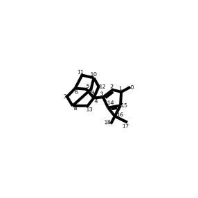 CC1[C]=C(C23CC4CC(CC(C4)C2)C3)C2=C1C2(C)C